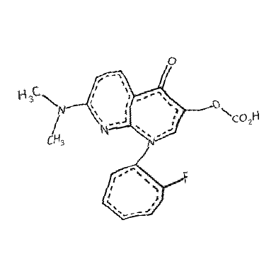 CN(C)c1ccc2c(=O)c(OC(=O)O)cn(-c3ccccc3F)c2n1